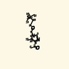 CC(=O)c1ncn(COCC[Si](C)(C)C)c1C